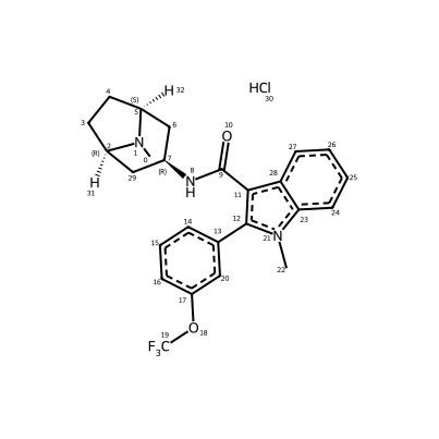 CN1[C@@H]2CC[C@H]1C[C@@H](NC(=O)c1c(-c3cccc(OC(F)(F)F)c3)n(C)c3ccccc13)C2.Cl